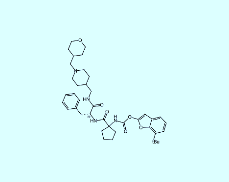 CC(C)(C)c1cccc2cc(OC(=O)NC3(C(=O)N[C@H](Cc4ccccc4)C(=O)NCC4CCN(CC5CCOCC5)CC4)CCCC3)oc12